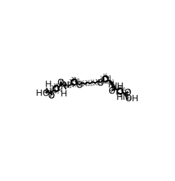 O=C(NO)c1ccc(C(=O)N/N=C/c2cccc(OCCCCCCCOc3cccc(/C=N/NC(=O)c4ccc(C(=O)NO)cc4)c3)c2)cc1